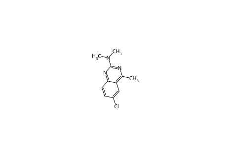 Cc1nc(N(C)C)nc2ccc(Cl)cc12